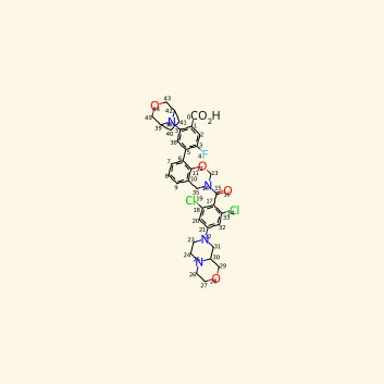 O=C(O)c1cc(F)c(-c2cccc3c2OCN(C(=O)c2c(Cl)cc(N4CCN5CCOCC5C4)cc2Cl)C3)cc1N1C2CCC1COC2